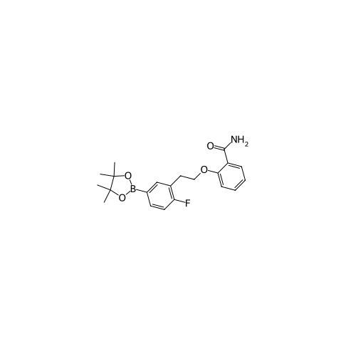 CC1(C)OB(c2ccc(F)c(CCOc3ccccc3C(N)=O)c2)OC1(C)C